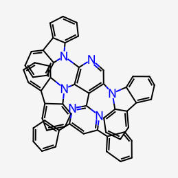 c1ccc(-c2cc(-c3ccccc3)nc(-c3c(-n4c5ccccc5c5ccccc54)cnc(-n4c5ccccc5c5ccccc54)c3-n3c4ccccc4c4ccccc43)n2)cc1